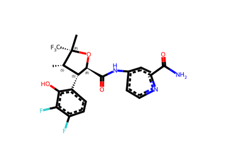 C[C@H]1[C@@H](c2ccc(F)c(F)c2O)[C@H](C(=O)Nc2ccnc(C(N)=O)c2)O[C@@]1(C)C(F)(F)F